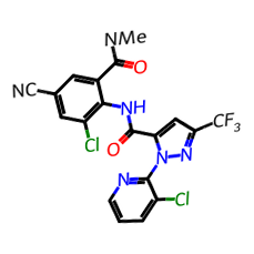 CNC(=O)c1cc(C#N)cc(Cl)c1NC(=O)c1cc(C(F)(F)F)nn1-c1ncccc1Cl